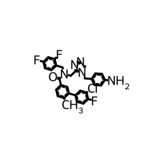 Cc1ccc(C(=O)N(Cc2ccc(F)cc2F)Cc2nncn2Cc2ccc(N)cc2)cc1-c1ccc(F)c(Cl)c1